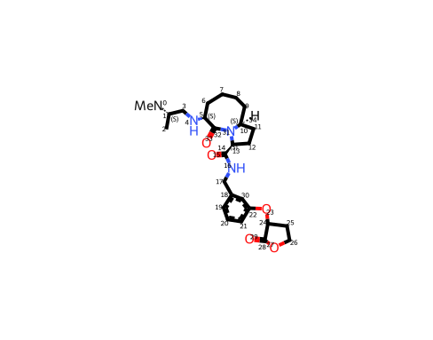 CN[C@@H](C)CN[C@H]1CCCC[C@H]2CC[C@@H](C(=O)NCc3cccc(OC4CCOC4=O)c3)N2C1=O